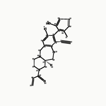 C#Cc1c2c(cc(Cl)c1-c1c(C)cccc1O)CN1CCN(C(=O)C=C)C[C@@H]1CO2